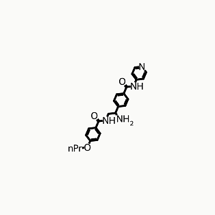 CCCOc1ccc(C(=O)NCC(N)c2ccc(C(=O)Nc3ccncc3)cc2)cc1